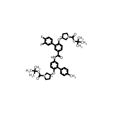 Cc1ccc(-c2cc(NC(=O)c3ccc(O[C@H]4CCN(C(=O)OC(C)(C)C)C4)c(-c4ccc(F)c(F)c4)c3)ccc2O[C@H]2CCN(C(=O)OC(C)(C)C)C2)cc1